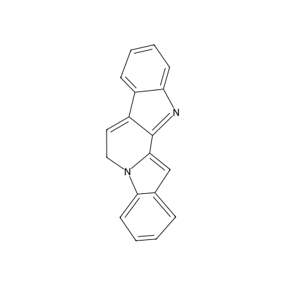 C1=C2C(=Nc3ccccc32)c2cc3ccccc3n2C1